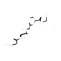 NCC(=O)NCC(=O)NCC(=O)N[C@@H](CO)C(=O)N[C@@H](CO)C(=O)O